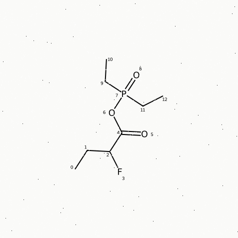 CCC(F)C(=O)OP(=O)(CC)CC